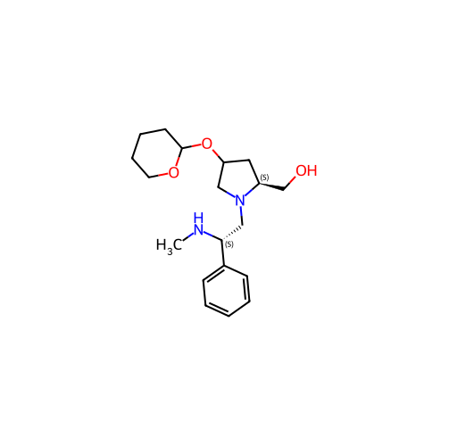 CN[C@H](CN1CC(OC2CCCCO2)C[C@H]1CO)c1ccccc1